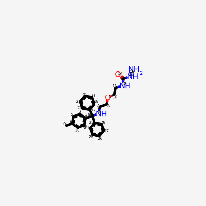 Cc1ccc(C(NCCOCCNC(=O)NN)(c2ccccc2)c2ccccc2)cc1